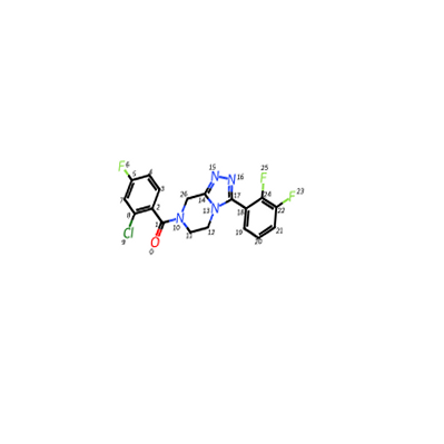 O=C(c1ccc(F)cc1Cl)N1CCn2c(nnc2-c2cccc(F)c2F)C1